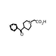 O=C(O)CN1CCC(C(=O)c2ccccc2)CC1